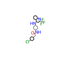 O=C(Cc1ccc(Cl)cc1)NC1CCC(Nc2cc(C(F)(F)F)nc3ccccc23)CC1